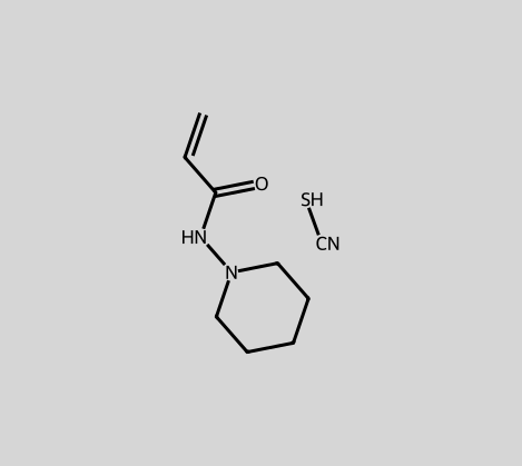 C=CC(=O)NN1CCCCC1.N#CS